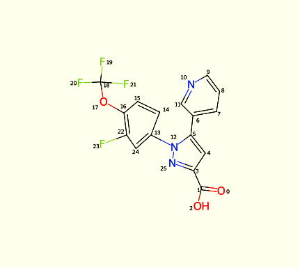 O=C(O)c1cc(-c2cccnc2)n(-c2ccc(OC(F)(F)F)c(F)c2)n1